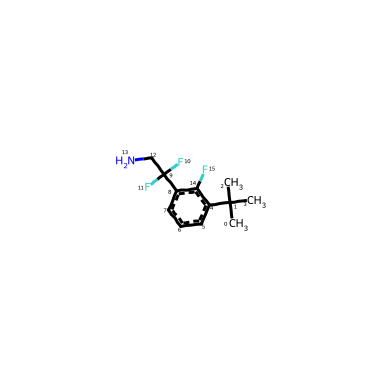 CC(C)(C)c1cccc(C(F)(F)CN)c1F